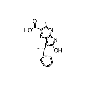 Cc1nc2nc(O)n([C@@H](C)c3ccccc3)c2nc1C(=O)O